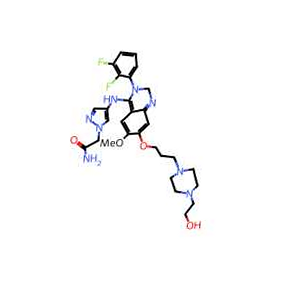 COc1cc2c(cc1OCCCN1CCN(CCO)CC1)=NCN(c1cccc(F)c1F)C=2Nc1cnn(CC(N)=O)c1